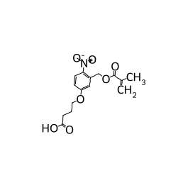 C=C(C)C(=O)OCc1cc(OCCCC(=O)O)ccc1[N+](=O)[O-]